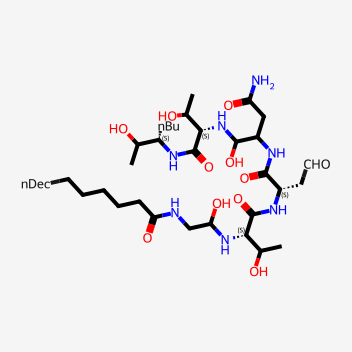 CCCCCCCCCCCCCCCC(=O)NCC(O)N[C@H](C(=O)N[C@@H](CC=O)C(=O)NC(CC(N)=O)C(O)N[C@H](C(=O)N[C@@H](CCCC)C(C)O)C(C)O)C(C)O